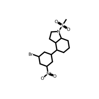 CS(=O)(=O)N1CCC2C(C3CC(Br)CC([N+](=O)[O-])C3)CCCC21